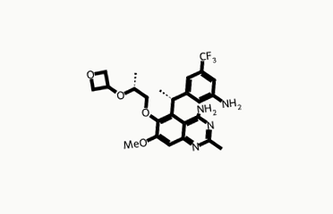 COc1cc2nc(C)nc(N)c2c([C@H](C)c2cc(N)cc(C(F)(F)F)c2)c1OC[C@@H](C)OC1COC1